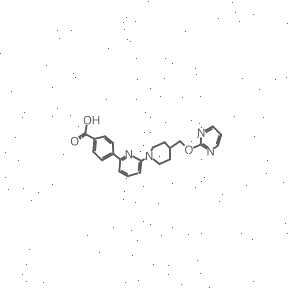 O=C(O)c1ccc(-c2cccc(N3CCC(COc4ncccn4)CC3)n2)cc1